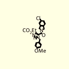 CCOC(=O)c1nnn(Cc2ccc(OC)cc2)c1C(=O)N1Cc2ccc(Cl)cc2C1